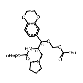 CCCCCCCC(=O)N[C@H](CN1CCCC1)[C@H](OCOC(=O)C(C)(C)C)c1ccc2c(c1)OCCO2